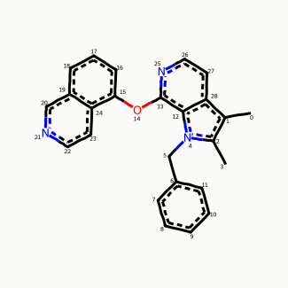 Cc1c(C)n(Cc2ccccc2)c2c(Oc3cccc4cnccc34)nccc12